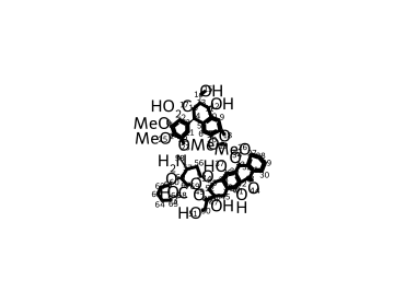 COc1cc([C@@H]2c3cc4c(cc3[C@H](O)[C@@H](CO)[C@@H]2C(=O)O)OCO4)cc(OC)c1OC.COc1cccc2c1C(=O)c1c(O)c3c(c(O)c1C2=O)C[C@@](O)(C(=O)CO)CC3O[C@H]1C[C@H](N)[C@H](O[C@@H]2CCCCO2)[C@H](C)O1